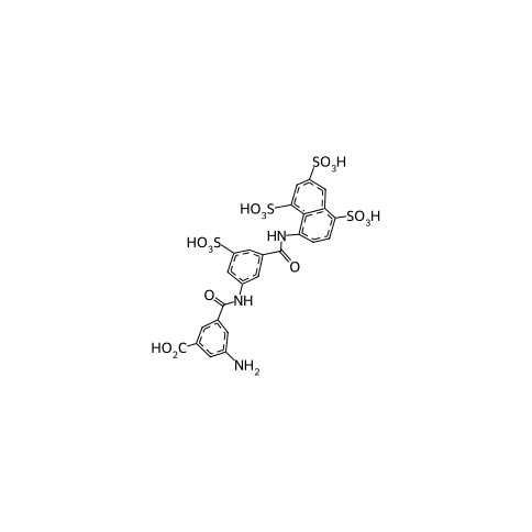 Nc1cc(C(=O)O)cc(C(=O)Nc2cc(C(=O)Nc3ccc(S(=O)(=O)O)c4cc(S(=O)(=O)O)cc(S(=O)(=O)O)c34)cc(S(=O)(=O)O)c2)c1